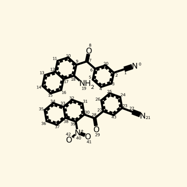 N#Cc1cccc(C(=O)c2ccc3ccccc3c2N)c1.N#Cc1cccc(C(=O)c2ccc3ccccc3c2[N+](=O)[O-])c1